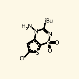 CCC(C)C1=NS(=O)(=O)c2sc(Cl)cc2N1N